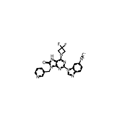 [C-]#[N+]c1ccc2ncn(-c3nc(N4CC(F)(F)C4)c4[nH]c(=O)n(Cc5cccnc5)c4n3)c2c1